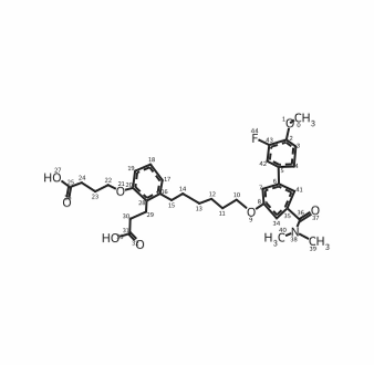 COc1ccc(-c2cc(OCCCCCCc3cccc(OCCCC(=O)O)c3CCC(=O)O)cc(C(=O)N(C)C)c2)cc1F